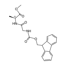 COC(=O)[C@H](C)NC(=O)CNC(=O)OCC1c2ccccc2-c2ccccc21